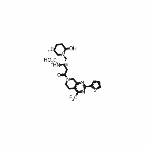 C[C@@H]1CCC(O)N(C[C@H](CC(=O)N2CCc3c(nc(-c4cccs4)nc3C(F)(F)F)C2)NC(=O)O)C1